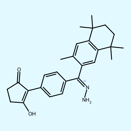 Cc1cc2c(cc1/C(=N/N)c1ccc(C3=C(O)CCC3=O)cc1)C(C)(C)CCC2(C)C